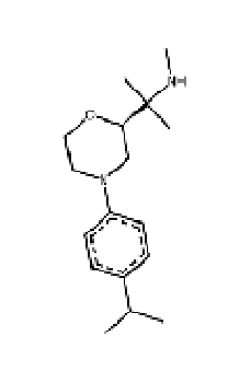 CNC(C)(C)[C@H]1CN(c2ccc(C(C)C)cc2)CCO1